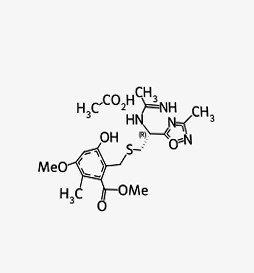 CC(=O)O.COC(=O)c1c(C)c(OC)cc(O)c1CSC[C@H](NC(C)=N)c1nc(C)no1